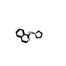 [c]1ccc2c(NN3CCCC3)nccc2c1